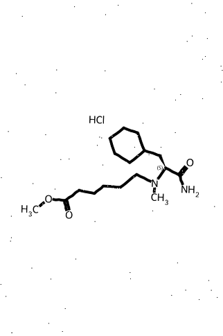 COC(=O)CCCCCN(C)[C@@H](CC1CCCCC1)C(N)=O.Cl